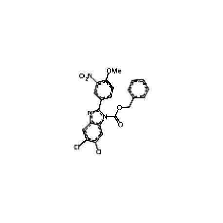 COc1ccc(-c2nc3cc(Cl)c(Cl)cc3n2C(=O)OCc2ccccc2)cc1[N+](=O)[O-]